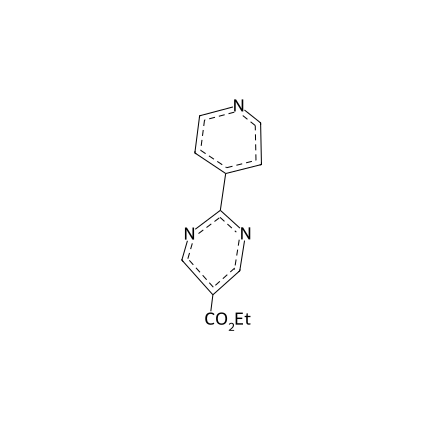 CCOC(=O)c1cnc(-c2ccncc2)nc1